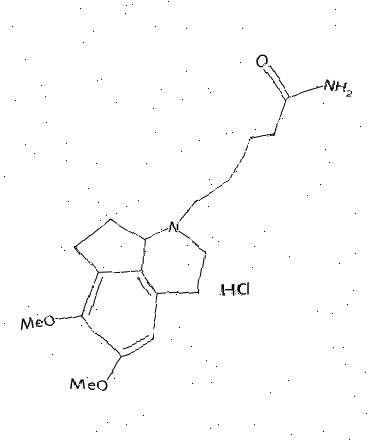 COc1cc2c3c(c1OC)CCC3N(CCCCC(N)=O)CC2.Cl